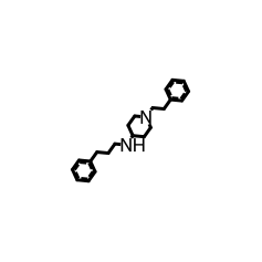 c1ccc(CCCNC2CCN(CCc3ccccc3)CC2)cc1